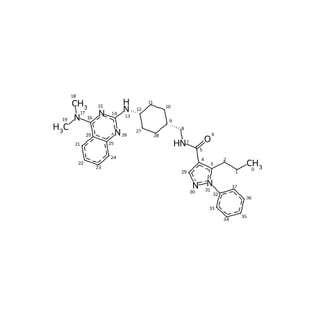 CCCc1c(C(=O)NC[C@H]2CC[C@@H](Nc3nc(N(C)C)c4ccccc4n3)CC2)cnn1-c1ccccc1